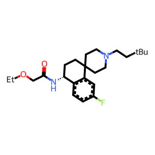 CCOCC(=O)N[C@@H]1CCC2(CCN(CCC(C)(C)C)CC2)c2cc(F)ccc21